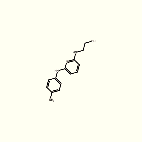 Nc1ccc(Nc2cccc(NCCO)n2)cc1